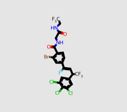 O=C(CNC(=O)c1ccc(/C(F)=C/C(c2cc(Cl)c(Cl)c(Cl)c2)C(F)(F)F)cc1Br)NCC(F)(F)F